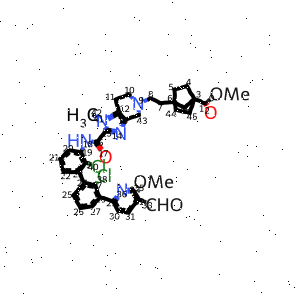 COC(=O)C12CCC(CCN3CCc4c(nc(C(=O)Nc5cccc(-c6cccc(-c7ccc(C=O)c(OC)n7)c6Cl)c5Cl)n4C)C3)(CC1)C2